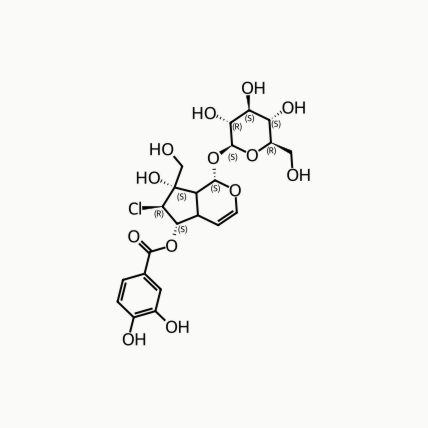 O=C(O[C@H]1C2C=CO[C@@H](O[C@@H]3O[C@H](CO)[C@@H](O)[C@H](O)[C@H]3O)C2[C@](O)(CO)[C@@H]1Cl)c1ccc(O)c(O)c1